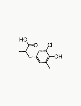 Cc1cc(CC(C)C(=O)O)cc(Cl)c1O